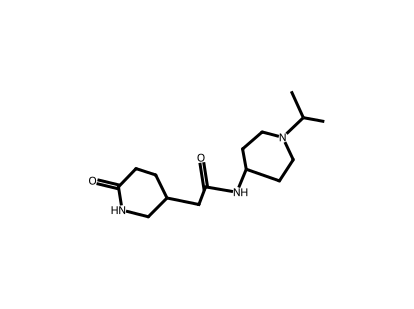 CC(C)N1CCC(NC(=O)CC2CCC(=O)NC2)CC1